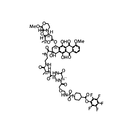 COc1cccc2c1C(=O)c1c(O)c3c(c(O)c1C2=O)C[C@@](O)(C(=O)N(C)CCNC(=O)[C@H](C)NC(=O)[C@H](C)NC(=O)[C@H](C)NC(=O)COCNS(=O)(=O)N1CCC(C(=O)Oc2c(F)c(F)c(F)c(F)c2F)CC1)C[C@@H]3O[C@H]1C[C@H]2[C@H](O[C@@H]3[C@@H](OC)OCCN32)[C@H](C)O1